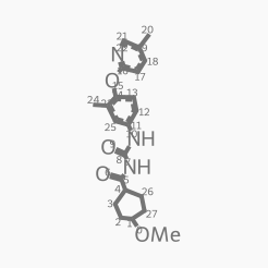 COC1CCC(C(=O)NC(=O)Nc2ccc(Oc3ccc(C)cn3)c(C)c2)CC1